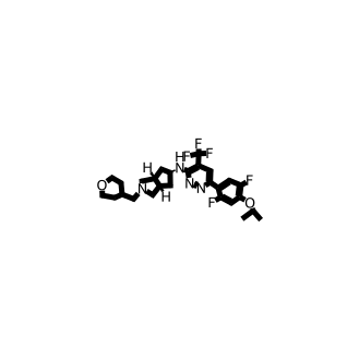 CC(C)Oc1cc(F)c(-c2cc(C(F)(F)F)c(N[C@@H]3C[C@@H]4CN(CC5CCOCC5)C[C@@H]4C3)nn2)cc1F